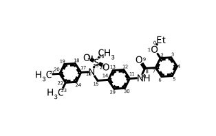 CCOc1ccccc1C(=O)Nc1ccc(CN(c2ccc(C)c(C)c2)S(C)(=O)=O)cc1